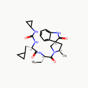 CC(C)(C)C[C@H](NC(=O)[C@H](CC1CC1)NC(=O)NC1CC1)C(=O)N1C[C@]2(C[C@H]1C#N)C(=O)Nc1ccccc12